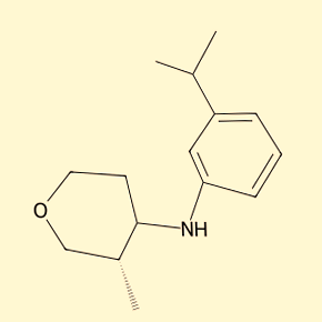 CC(C)c1cccc(NC2CCOC[C@H]2C)c1